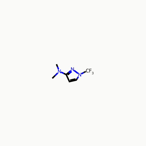 CN(C)c1ccn(C(F)(F)F)n1